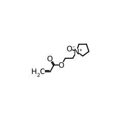 C=CC(=O)OCC[N+]1([O-])CCCC1